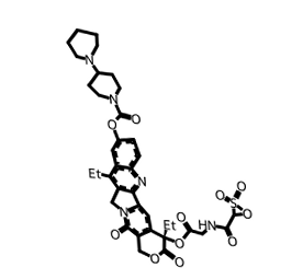 CCc1c2c(nc3ccc(OC(=O)N4CCC(N5CCCCC5)CC4)cc13)-c1cc3c(c(=O)n1C2)COC(=O)[C@@]3(CC)OC(=O)CNC(=O)C1OS1(=O)=O